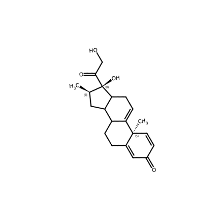 C[C@@H]1CC2C3CCC4=CC(=O)C=C[C@]4(C)C3=CCC2[C@@]1(O)C(=O)CO